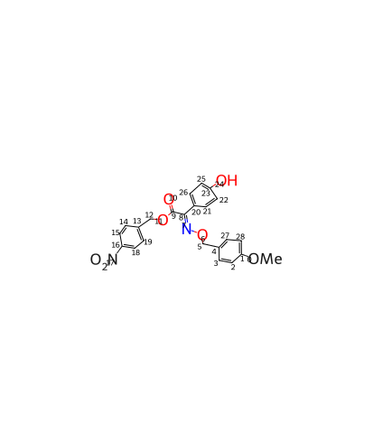 COc1ccc(CON=C(C(=O)OCc2ccc([N+](=O)[O-])cc2)c2ccc(O)cc2)cc1